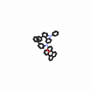 c1ccc(-c2cccc(N(c3ccc(-c4cccc5cccc(-c6ccccc6)c45)cc3)c3ccc4c(c3)c3c(-c5ccccc5)cccc3n4-c3ccccc3)c2)cc1